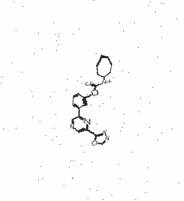 O=C(NC1CCCCCC1)Oc1cccc(-c2cncc(-c3nnco3)n2)c1